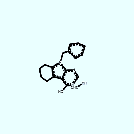 O=CO.Oc1ncnc2c1c1c(n2Cc2ccccc2)CCCC1